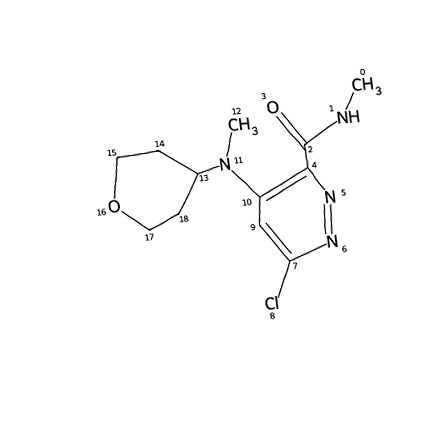 CNC(=O)c1nnc(Cl)cc1N(C)C1CCOCC1